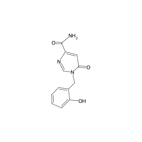 NC(=O)c1cc(=O)n(Cc2ccccc2O)cn1